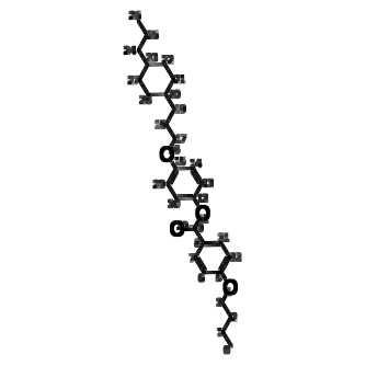 CCCCOc1ccc(C(=O)Oc2ccc(OCCCC3CCC(CCC)CC3)cc2)cc1